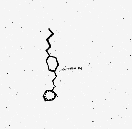 CCCCCC1CCC(CCSc2ccccc2)CC1.F.F.F.F.F